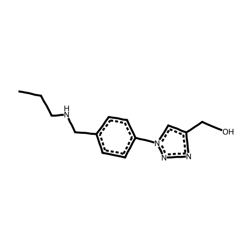 CCCNCc1ccc(-n2cc(CO)nn2)cc1